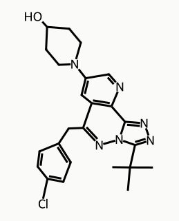 CC(C)(C)c1nnc2c3ncc(N4CCC(O)CC4)cc3c(Cc3ccc(Cl)cc3)nn12